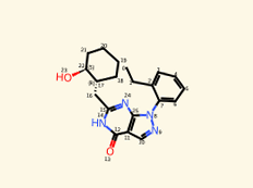 CCc1ccccc1-n1ncc2c(=O)[nH]c(C[C@H]3CCCC[C@@H]3O)nc21